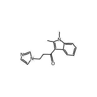 Cc1c(C(=O)CCn2ccnc2)c2ccccc2n1C